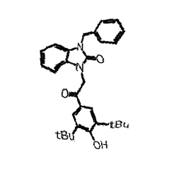 CC(C)(C)c1cc(C(=O)Cn2c(=O)n(Cc3ccccc3)c3ccccc32)cc(C(C)(C)C)c1O